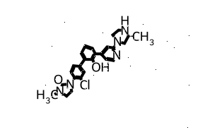 C[C@@H]1CN(c2cc(-c3cccc(-c4ccc(N5CCN(C)C5=O)c(Cl)c4)c3O)ccn2)CCN1